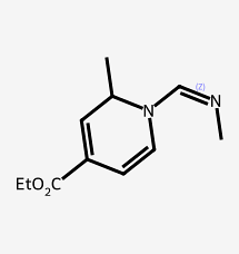 CCOC(=O)C1=CC(C)N(/C=N\C)C=C1